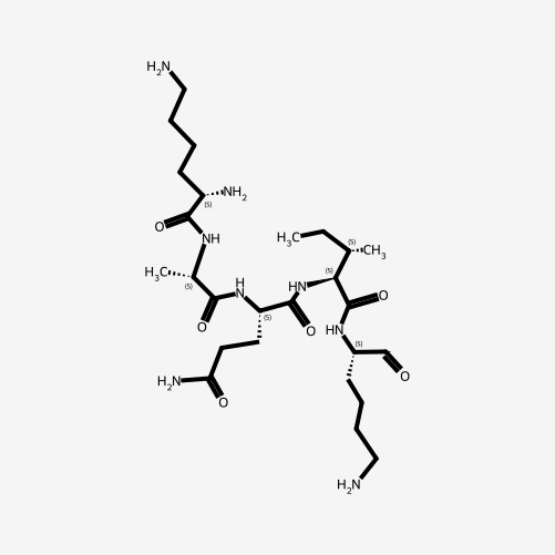 CC[C@H](C)[C@H](NC(=O)[C@H](CCC(N)=O)NC(=O)[C@H](C)NC(=O)[C@@H](N)CCCCN)C(=O)N[C@H]([C]=O)CCCCN